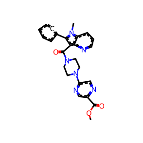 COC(=O)c1cnc(N2CCN(C(=O)c3c(-c4ccccc4)n(C)c4cccnc34)CC2)cn1